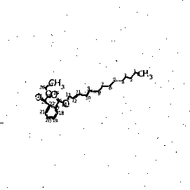 CCCCCCCCCCCCCCOC(=O)c1ccccc1C(=O)OCC